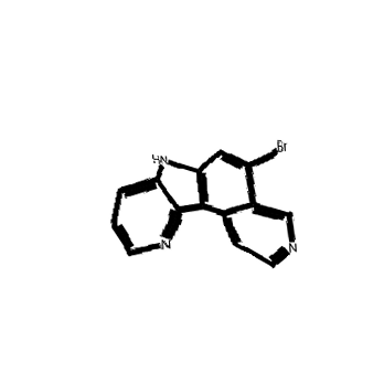 Brc1cc2[nH]c3cccnc3c2c2ccncc12